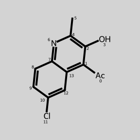 CC(=O)c1c(O)c(C)nc2ccc(Cl)cc12